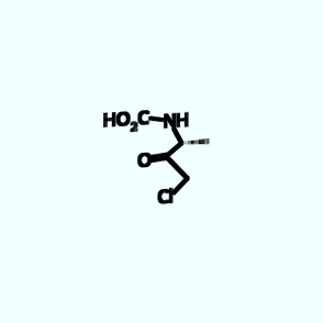 C[C@@H](NC(=O)O)C(=O)CCl